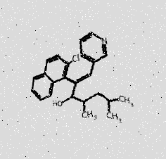 CC(C)CC(C)C(O)C(=Cc1cccnc1)c1c(Cl)ccc2ccccc12